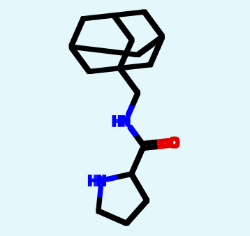 O=C(NCC12CC3CC(CC(C3)C1)C2)C1CCCN1